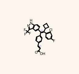 O=C(O)/C=C/c1ccc(/C(=C(\c2ccc(F)cc2Cl)C2CCC2)c2ccc3[nH]nc(C(F)(F)F)c3c2)cc1